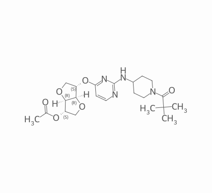 CC(=O)O[C@H]1CO[C@H]2[C@@H]1OC[C@@H]2Oc1ccnc(NC2CCN(C(=O)C(C)(C)C)CC2)n1